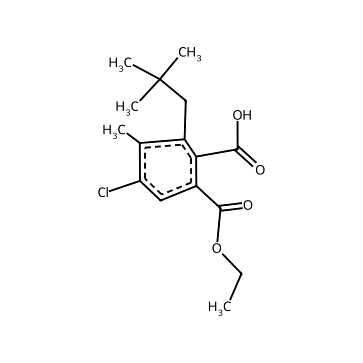 CCOC(=O)c1cc(Cl)c(C)c(CC(C)(C)C)c1C(=O)O